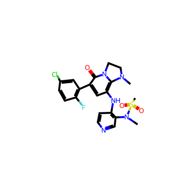 CN1CCn2c1c(Nc1ccncc1N(C)S(C)(=O)=O)cc(-c1cc(Cl)ccc1F)c2=O